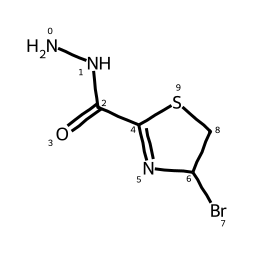 NNC(=O)C1=NC(Br)CS1